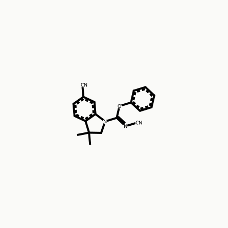 CC1(C)CN(C(=NC#N)Oc2ccccc2)c2cc(C#N)ccc21